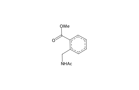 COC(=O)c1ccccc1CNC(C)=O